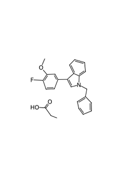 CCC(=O)O.COc1cc(-c2cn(Cc3ccccc3)c3ccccc23)ccc1F